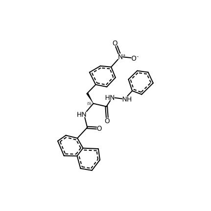 O=C(N[C@@H](Cc1ccc([N+](=O)[O-])cc1)C(=O)NNc1ccccc1)c1cccc2ccccc12